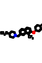 C[C@H]1CC[C@@H](Oc2ccc3ccc(CN4CCC(C(=O)O)CC4)cc3c2C(F)(F)F)CC1